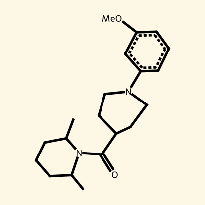 COc1cccc(N2CCC(C(=O)N3C(C)CCCC3C)CC2)c1